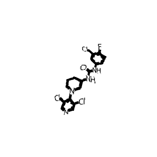 O=C(Nc1ccc(F)c(Cl)c1)NC1CCCN(c2c(Cl)cncc2Cl)C1